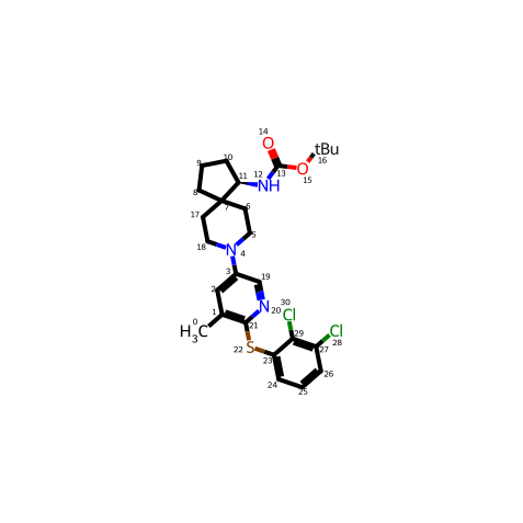 Cc1cc(N2CCC3(CCC[C@H]3NC(=O)OC(C)(C)C)CC2)cnc1Sc1cccc(Cl)c1Cl